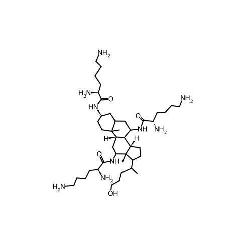 CC(CCCO)C1CC[C@H]2C3C(NC(=O)[C@@H](N)CCCCN)CC4C[C@H](NC(=O)[C@@H](N)CCCCN)CCC4(C)[C@H]3CC(NC(=O)[C@@H](N)CCCCN)C12C